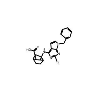 O=C(O)C1C2CCC(CC2)C1Nc1nc(Cl)nc2c1ccn2Cc1ccccc1